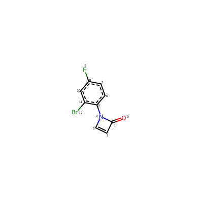 O=C1C=CN1c1ccc(F)cc1Br